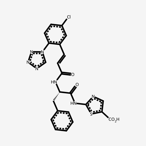 O=C(/C=C/c1cc(Cl)ccc1-n1cnnn1)N[C@@H](Cc1ccccc1)C(=O)Nc1ncc(C(=O)O)s1